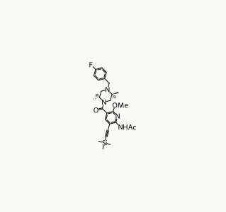 COc1nc(NC(C)=O)c(C#C[Si](C)(C)C)cc1C(=O)N1C[C@H](C)N(Cc2ccc(F)cc2)C[C@H]1C